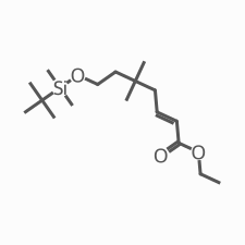 CCOC(=O)C=CCC(C)(C)CCO[Si](C)(C)C(C)(C)C